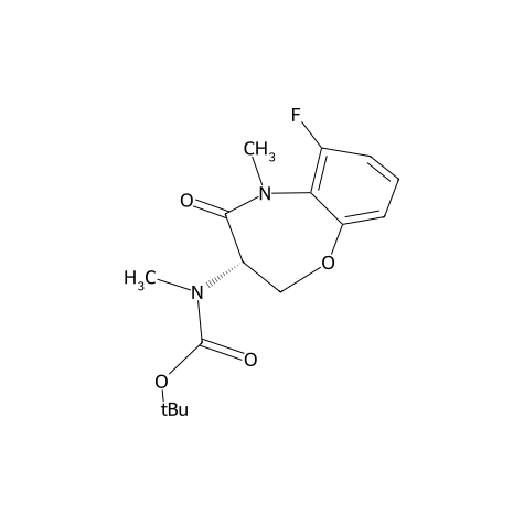 CN1C(=O)[C@@H](N(C)C(=O)OC(C)(C)C)COc2cccc(F)c21